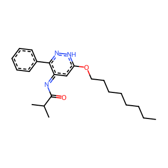 CCCCCCCCOc1cc(=NC(=O)C(C)C)c(-c2ccccc2)n[nH]1